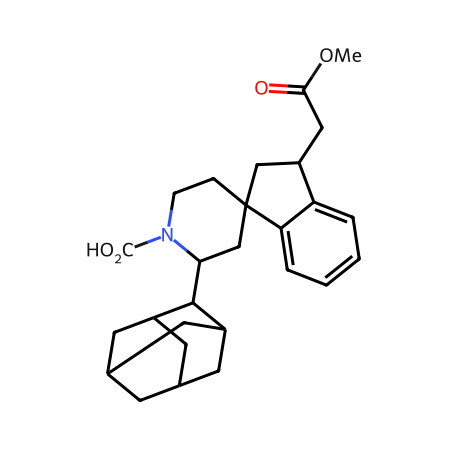 COC(=O)CC1CC2(CCN(C(=O)O)C(C3C4CC5CC(C4)CC3C5)C2)c2ccccc21